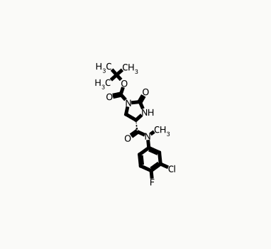 CN(C(=O)[C@@H]1CN(C(=O)OC(C)(C)C)C(=O)N1)c1ccc(F)c(Cl)c1